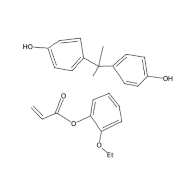 C=CC(=O)Oc1ccccc1OCC.CC(C)(c1ccc(O)cc1)c1ccc(O)cc1